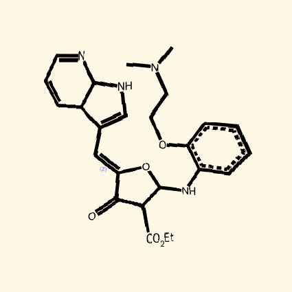 CCOC(=O)C1C(=O)/C(=C/C2=CNC3N=CC=CC23)OC1Nc1ccccc1OCCN(C)C